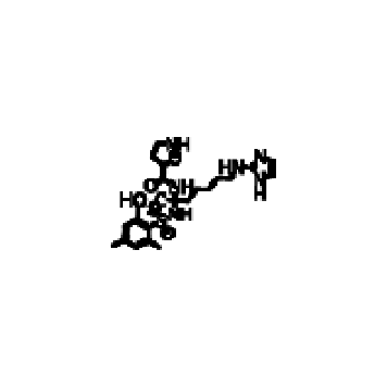 Cc1cc(C)c(S(=O)(=O)NC(CCCCCNc2ncc[nH]2)(NC(=O)C2CCNO2)C(=O)O)c(C)c1